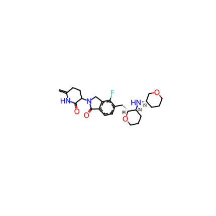 C=C1CCC(N2Cc3c(ccc(C[C@H]4OCCC[C@@H]4N[C@H]4CCCOC4)c3F)C2=O)C(=O)N1